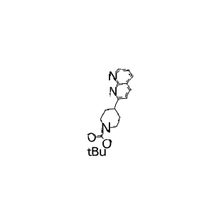 CC(C)(C)OC(=O)N1CCC(c2ccc3cccnc3n2)CC1